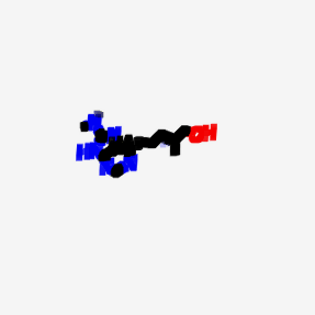 C/C(=C\C[AsH]c1ncnc2[nH]c(N(C)C)nc12)CO